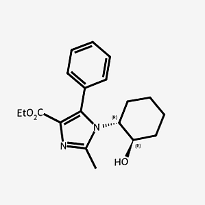 CCOC(=O)c1nc(C)n([C@@H]2CCCC[C@H]2O)c1-c1ccccc1